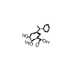 CC(c1ccccc1)c1cc(O)c(O)c(C(=O)O)c1